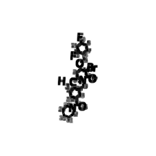 Cc1cc(OCc2ccc(F)cc2F)c(Br)c(=O)n1Cc1cccc(C(=O)N2CCCCC2)c1